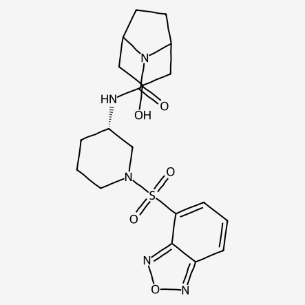 O=C(N[C@H]1CCCN(S(=O)(=O)c2cccc3nonc23)C1)N1C2CCC1CC(O)C2